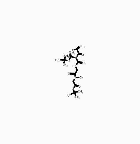 C=C(C)C(=O)N(C(=O)NCC(=O)N(O)CC(=O)OC(C)(C)C)C(=O)OC(C)(C)C